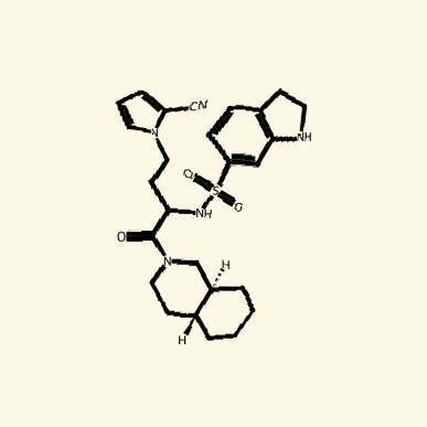 N#Cc1cccn1CCC(NS(=O)(=O)c1ccc2c(c1)NCC2)C(=O)N1CC[C@H]2CCCC[C@@H]2C1